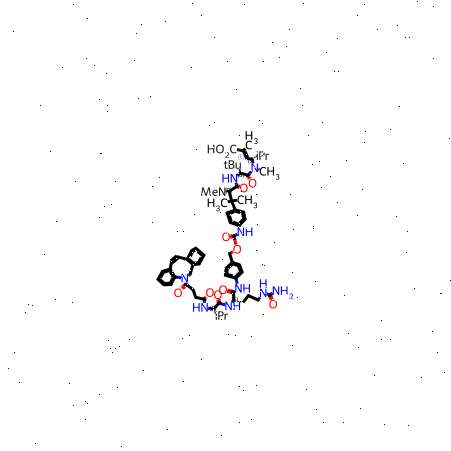 CN[C@@H](C(=O)N[C@H](C(=O)N(C)[C@H](/C=C(\C)C(=O)O)C(C)C)C(C)(C)C)C(C)(C)c1ccc(NC(=O)OCc2ccc(NC(=O)[C@H](CCCNC(N)=O)NC(=O)[C@@H](NC(=O)CCC(=O)N3Cc4ccccc4C#Cc4ccccc43)C(C)C)cc2)cc1